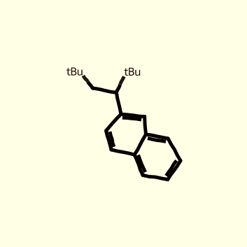 CC(C)(C)CC(c1ccc2ccccc2c1)C(C)(C)C